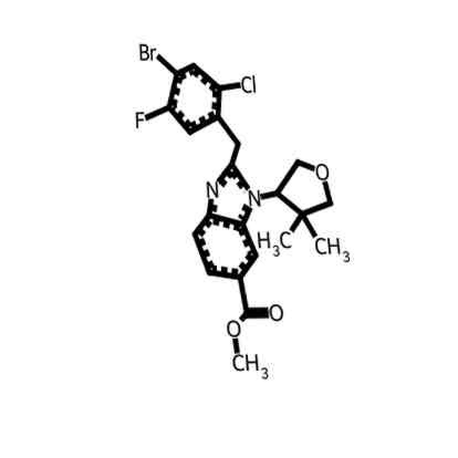 COC(=O)c1ccc2nc(Cc3cc(F)c(Br)cc3Cl)n(C3COCC3(C)C)c2c1